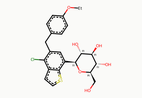 CCOc1ccc(Cc2cc([C@@H]3O[C@H](CO)[C@@H](O)[C@H](O)[C@H]3O)c3sccc3c2Cl)cc1